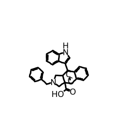 O=C(O)C12CN(Cc3ccccc3)CC1C1(c3c[nH]c4ccccc34)CCC2c2ccccc21